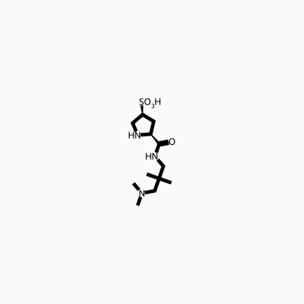 CN(C)CC(C)(C)CNC(=O)[C@@H]1C[C@H](S(=O)(=O)O)CN1